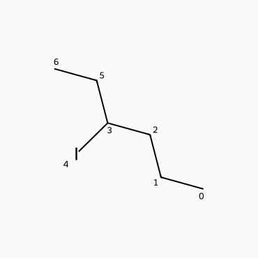 CCCC(I)CC